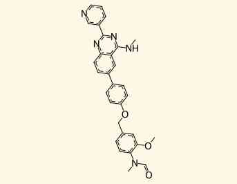 CNc1nc(-c2cccnc2)nc2ccc(-c3ccc(OCc4ccc(N(C)C=O)c(OC)c4)cc3)cc12